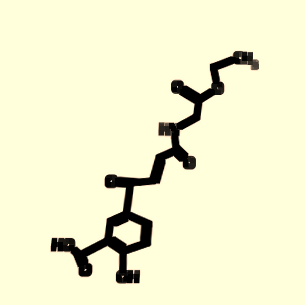 CCOC(=O)CNC(=O)C=CC(=O)c1ccc(O)c(C(=O)O)c1